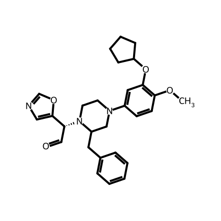 COc1ccc(N2CCN([C@H](C=O)c3cnco3)C(Cc3ccccc3)C2)cc1OC1CCCC1